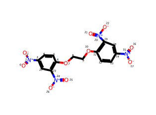 O=[N+]([O-])c1ccc(OCCOc2ccc([N+](=O)[O-])cc2[N+](=O)[O-])c([N+](=O)[O-])c1